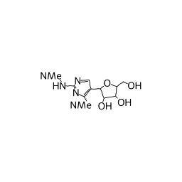 CNNc1ncc(C2OC(CO)C(O)C2O)c(NC)n1